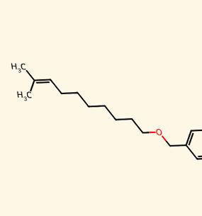 CC(C)=CCCCCCCCOCc1ccccc1